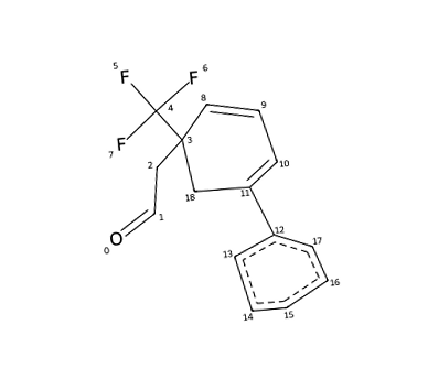 O=CCC1(C(F)(F)F)C=CC=C(c2ccccc2)C1